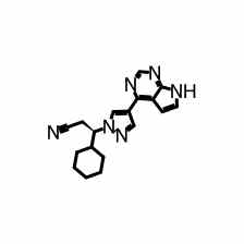 N#CC[C@H](C1CCCCC1)n1cc(-c2ncnc3[nH]ccc23)cn1